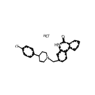 Cl.O=c1[nH]c2cc(CN3CCC(c4ccc(Cl)cc4)CC3)ccc2c2ccccc12